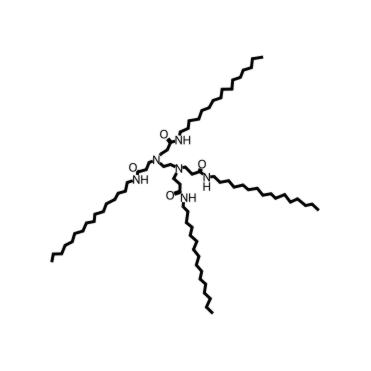 CCCCCCCCCCCCCCCCNC(=O)CCN(CCC(=O)NCCCCCCCCCCCCCCCC)CCN(CCC(=O)NCCCCCCCCCCCCCCCC)CCC(=O)NCCCCCCCCCCCCCCCC